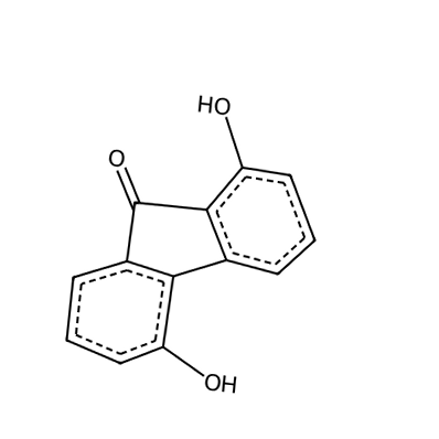 O=C1c2cccc(O)c2-c2cccc(O)c21